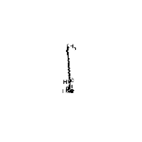 CCC=CCC=CCC=CCC=CCC=CCCCCSCC(=O)NCCOC(=O)c1ccccc1O